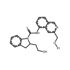 CCOCc1cc2c(NC(=S)N3c4ccccc4CC3CCO)cccc2cn1